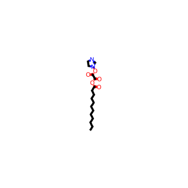 CCCCCCCCCCCC(=O)OC(=O)C(=O)ON1C=NCC1